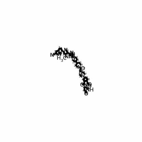 CNc1cc(-c2ccc3cc(C#N)cnn23)ncc1-c1nnc(N2CCC(C3CCN(C(=O)CN4CCN(c5ccc6c(c5)C(=O)N(C5CCC(=O)NC5=O)C6=O)CC4)CC3)CC2)s1